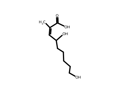 CC(=CC(O)CCCCCO)C(=O)O